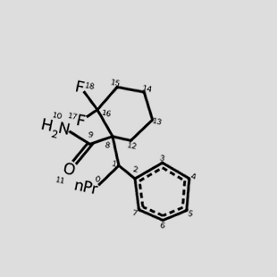 CCCC(c1ccccc1)C1(C(N)=O)CCCCC1(F)F